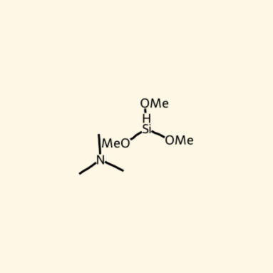 CN(C)C.CO[SiH](OC)OC